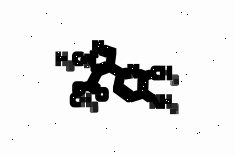 COC(=O)c1c(-c2ccc(N)c(C)n2)cnn1C